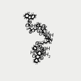 CC(CC(=O)C(C)NC(=O)OCC1c2ccccc2-c2ccccc21)C(=O)N1CCCC1C(=O)CC(C(=O)NCC(O)Cn1nncc1CCCCS(=O)(=O)c1cccc(Nc2cc(S(=O)(=O)O)c(N)c3c2C(=O)c2ccccc2C3=O)c1)C(C)C